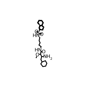 COC(C(=O)NCCCCCNS(=O)(=O)c1ccc2ccccc2c1)C(N)CC1CCCCC1